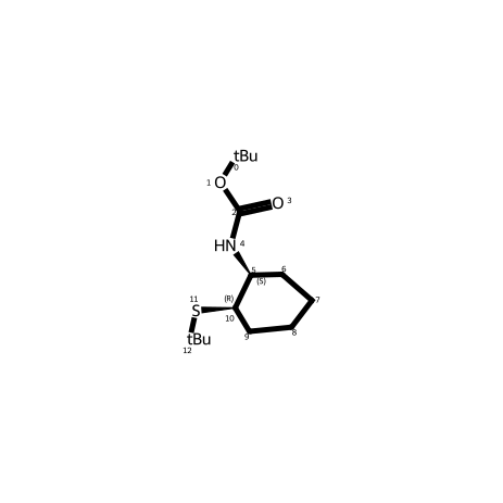 CC(C)(C)OC(=O)N[C@H]1CCCC[C@H]1SC(C)(C)C